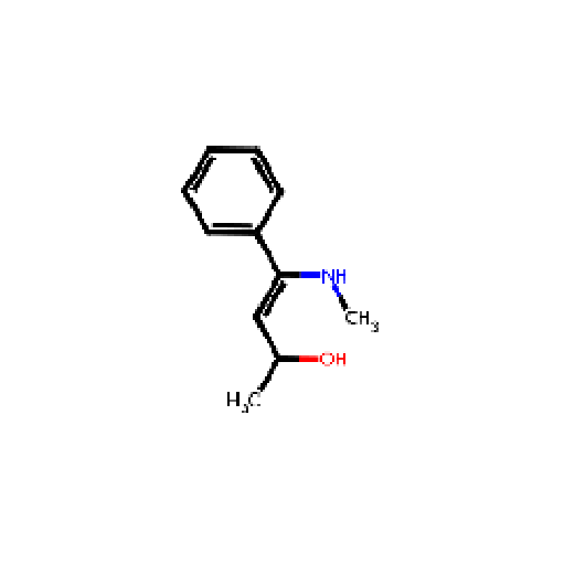 CNC(=CC(C)O)c1ccccc1